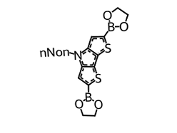 CCCCCCCCCn1c2cc(B3OCCO3)sc2c2sc(B3OCCO3)cc21